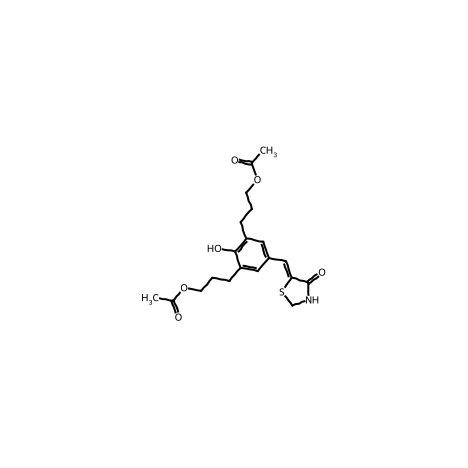 CC(=O)OCCCc1cc(/C=C2\SCNC2=O)cc(CCCOC(C)=O)c1O